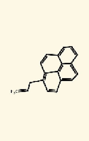 C=CCc1ccc2ccc3cccc4ccc1c2c34